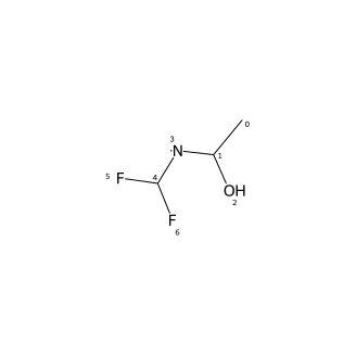 CC(O)[N]C(F)F